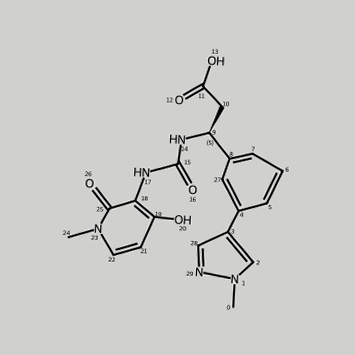 Cn1cc(-c2cccc([C@H](CC(=O)O)NC(=O)Nc3c(O)ccn(C)c3=O)c2)cn1